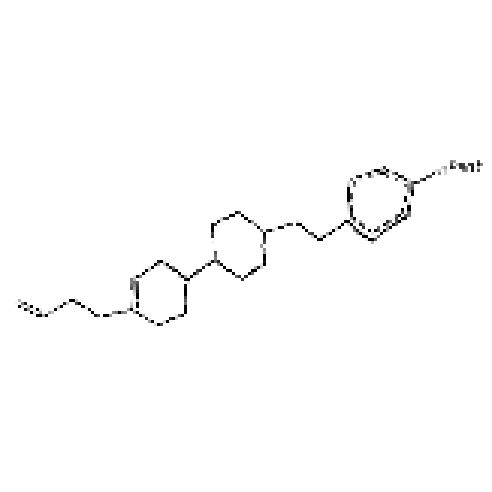 C=CCCC1=CCC(C2CCC(CCc3ccc(CCCCC)cc3)CC2)CC1